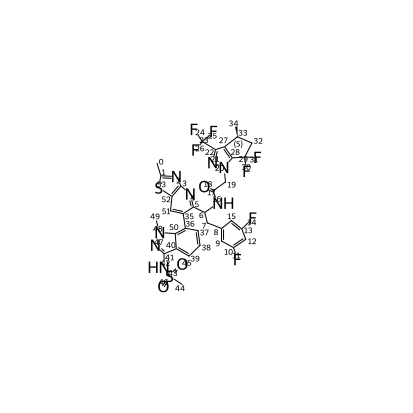 Cc1nc2nc(C(Cc3cc(F)cc(F)c3)NC(=O)Cn3nc(C(F)(F)F)c4c3C(F)(F)C[C@@H]4C)c(-c3cccc4c(NS(C)(=O)=O)nn(C)c34)cc2s1